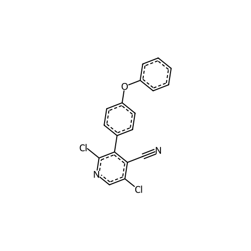 N#Cc1c(Cl)cnc(Cl)c1-c1ccc(Oc2ccccc2)cc1